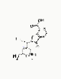 C=C(C)/C=C(\C=N)C(C)N1Cc2c(ccnc2C(=O)O)C1=O